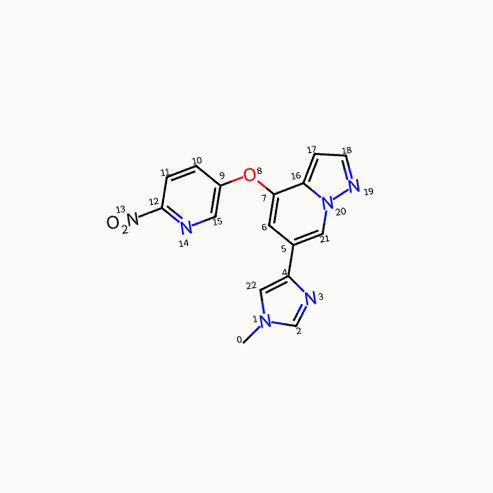 Cn1cnc(-c2cc(Oc3ccc([N+](=O)[O-])nc3)c3ccnn3c2)c1